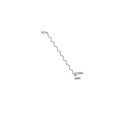 C=CCCCCCCCCCCCCCCCCC[SiH](OC)OC